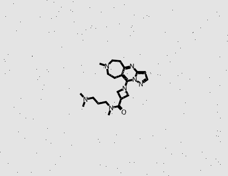 CN(C)CCCN(C)C(=O)C1CN(c2c3c(nc4ccnn24)CCN(C)CC3)C1